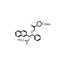 CO[C@H]1CCN(C(=O)CO[C@H](c2ccccc2)[C@H](CN(C)C(=O)O)c2ccc3ccccc3c2)C1